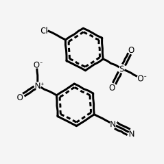 N#[N+]c1ccc([N+](=O)[O-])cc1.O=S(=O)([O-])c1ccc(Cl)cc1